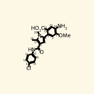 COc1cc(-c2cc(C(=O)Nc3ccc(Cl)cc3)c(C)n2C)c(C(=O)O)cc1N